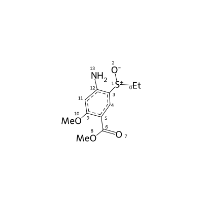 CC[S+]([O-])c1cc(C(=O)OC)c(OC)cc1N